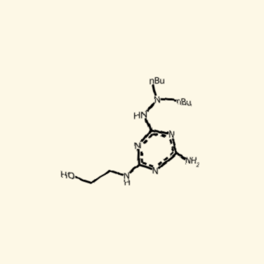 CCCCN(CCCC)Nc1nc(N)nc(NCCO)n1